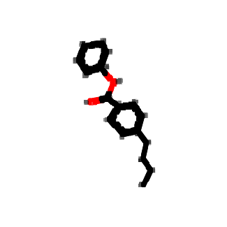 CCCCc1ccc(C(=O)Oc2ccccc2)cc1